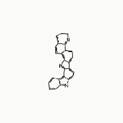 c1ccc2c(c1)=Nc1ccc3c(c1=2)=Nc1c-3ccc2c1ccc1cccnc12